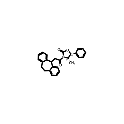 C[C@H]1[C@@H](c2ccccc2)OC(=O)N1C(=O)CC1c2ccccc2CCc2ccccc21